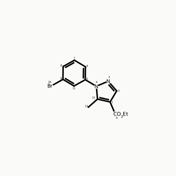 CCOC(=O)c1cnn(-c2cccc(Br)c2)c1C